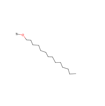 CCCCCCCCCCCCCC[O][Ti]